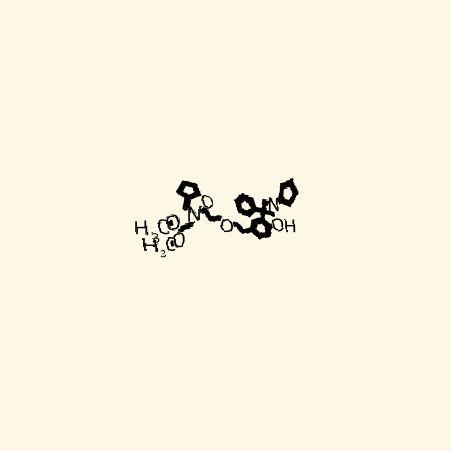 COC(CN(CC1CCCC1)C(=O)CCOCCc1ccc(O)c(C2(c3ccccc3)CN(C3CCCC3)C2)c1)OC